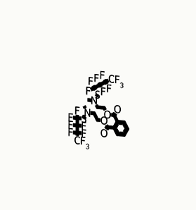 CN(CCOC(=O)c1ccccc1C(=O)OCCN(C)SC(F)(F)C(F)(F)C(F)(F)C(F)(F)F)SC(F)(F)C(F)(F)C(F)(F)C(F)(F)F